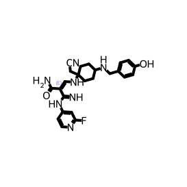 N#CCC1(N/C=C(\C(=N)Nc2ccnc(F)c2)C(N)=O)CCC(NCc2ccc(O)cc2)CC1